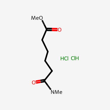 CNC(=O)CCCCC(=O)OC.Cl.Cl